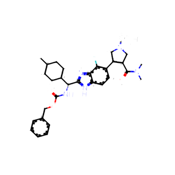 CC1CCC([C@H](NC(=O)OCc2ccccc2)c2nc3c(F)c(C4CN(C(=O)O)CC4C(=O)N(C)C)ccc3[nH]2)CC1